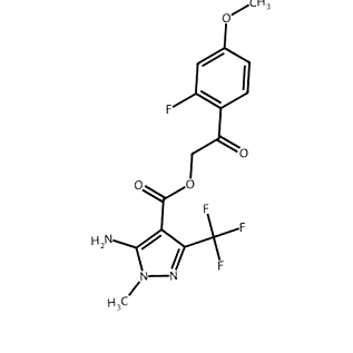 COc1ccc(C(=O)COC(=O)c2c(C(F)(F)F)nn(C)c2N)c(F)c1